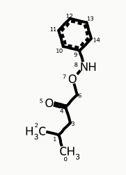 CC(C)CC(=O)CONc1ccccc1